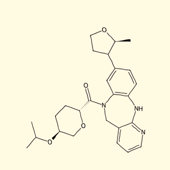 CC(C)O[C@H]1CC[C@H](C(=O)N2Cc3cccnc3Nc3ccc(C4CCO[C@H]4C)cc32)OC1